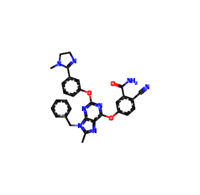 Cc1nc2c(Oc3ccc(C#N)c(C(N)=O)c3)nc(Oc3cccc(C4=NCCN4C)c3)nc2n1Cc1ccccc1